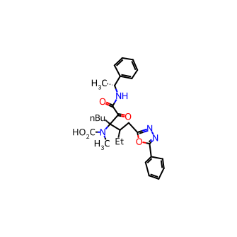 CCCCC(C(=O)C(=O)N[C@H](C)c1ccccc1)(C(CC)Cc1nnc(-c2ccccc2)o1)N(C)C(=O)O